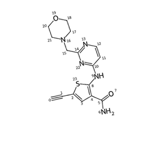 C#Cc1cc(C(N)=O)c(Nc2ccnc(CN3CCOCC3)n2)s1